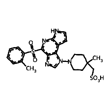 Cc1ccccc1S(=O)(=O)c1nc2[nH]ccc2c2c1ncn2N1CCC(C)(CS(=O)(=O)O)CC1